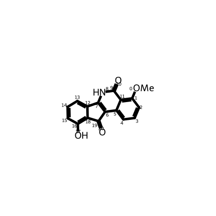 COc1cccc2c3c([nH]c(=O)c12)-c1cccc(O)c1C3=O